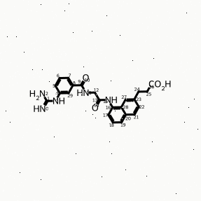 N=C(N)Nc1cccc(C(=O)NCC(=O)Nc2cccc3ccc(CCC(=O)O)cc23)c1